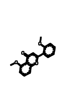 COc1ccccc1-c1cc(=O)c2c(OC)cccc2o1